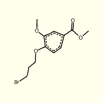 COC(=O)c1ccc(OCCCBr)c(OC)c1